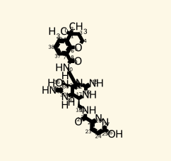 CC1(C)CCOc2c(C(=O)NC3CN4C(=N)N[C@@H](CNC(=O)c5ccc(O)nn5)[C@@H]5NC(=N)N[C@@]54[C@@H]3O)cccc21